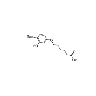 N#Cc1ccc(OCCCCCC(=O)O)cc1O